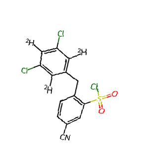 [2H]c1c(Cl)c([2H])c(Cc2ccc(C#N)cc2S(=O)(=O)Cl)c([2H])c1Cl